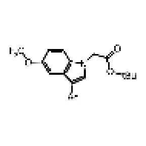 CC(=O)c1cn(CC(=O)OC(C)(C)C)c2ccc(OC(F)(F)F)cc12